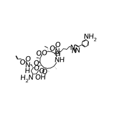 C=CCOC(=O)NC[C@@H]1CC(N)C(O)[C@H](O[C@@H]2[C@@H](C)C(=O)[C@@H](C)C(=O)O[C@H](CC)[C@@]3(C)OC(=O)N(CCCCn4cc(-c5cccc(N)c5)nn4)[C@@H]3[C@@H](C)NC[C@H](C)C[C@@]2(C)OC)O1